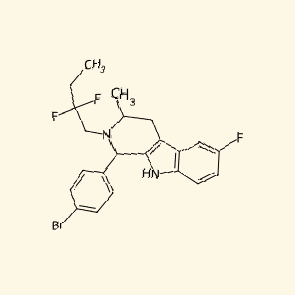 CCC(F)(F)CN1C(C)Cc2c([nH]c3ccc(F)cc23)C1c1ccc(Br)cc1